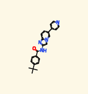 CC(C)(C)c1ccc(C(=O)Nc2cn3cc(-c4ccncc4)ccc3n2)cc1